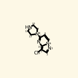 Clc1cnn2ccc(N3CCNCC3)nc12